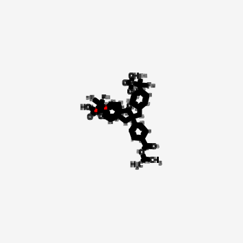 CC(C)OC(=O)c1ccc(C(Cc2ccc(C(F)(F)P(=O)(O)O)cc2)(Cc2ccc(C(F)(F)P(=O)(O)O)cc2)C(=O)c2ccc(F)cc2)cc1